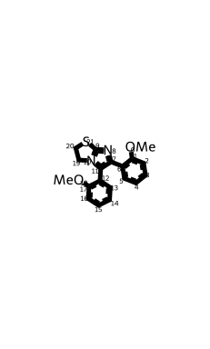 COc1ccccc1-c1nc2n(c1-c1ccccc1OC)CCS2